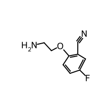 N#Cc1cc(F)ccc1OCCN